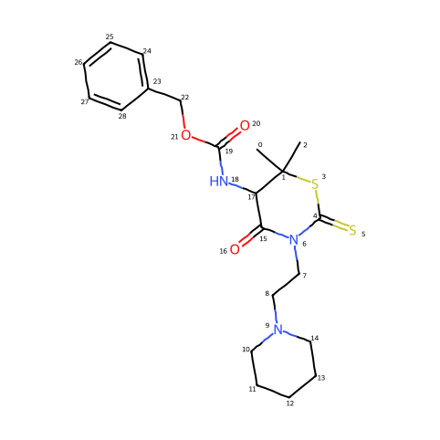 CC1(C)SC(=S)N(CCN2CCCCC2)C(=O)C1NC(=O)OCc1ccccc1